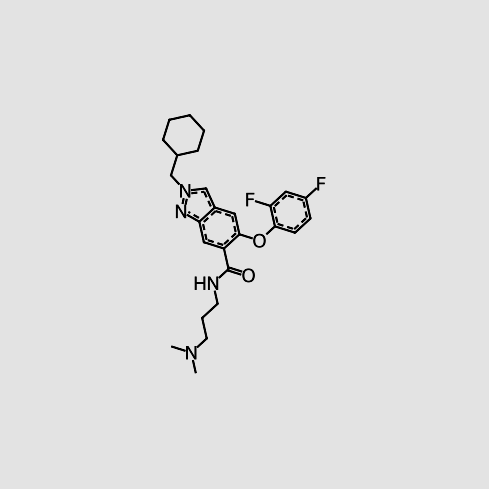 CN(C)CCCNC(=O)c1cc2nn(CC3CCCCC3)cc2cc1Oc1ccc(F)cc1F